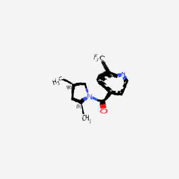 C[C@@H]1C[C@H](C)N(C(=O)c2ccnc(C(F)(F)F)c2)C1